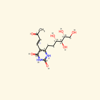 CC(=O)/C=C/c1c(CC[C@H](O)[C@H](O)[C@H](O)CO)[nH]c(=O)[nH]c1=O